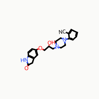 N#Cc1ccccc1N1CCN(C[C@H](O)COc2ccc3c(c2)CC(=O)N3)CC1